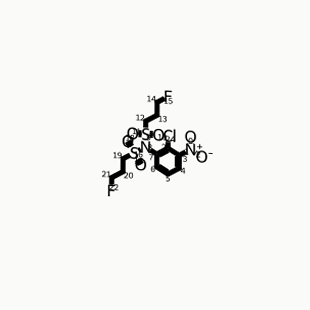 O=[N+]([O-])c1cccc(N(S(=O)(=O)CCCF)S(=O)(=O)CCCF)c1Cl